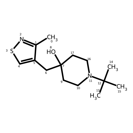 Cc1nscc1CC1(O)CCN(C(C)(C)C)CC1